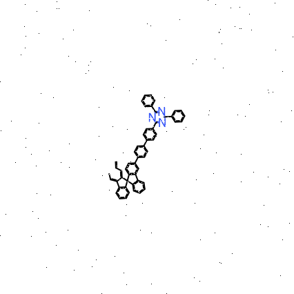 C=C/C=C1\C(=C/C)c2ccccc2C12c1ccccc1-c1cc(-c3ccc(-c4ccc(-c5nc(-c6ccccc6)nc(-c6ccccc6)n5)cc4)cc3)ccc12